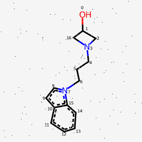 OC1CN(CCCn2ccc3ccccc32)C1